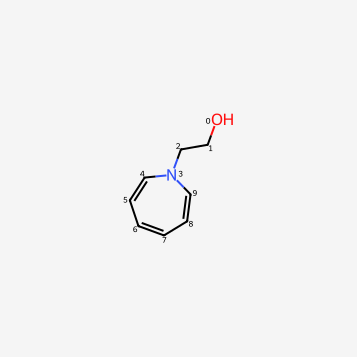 OCCN1C=CC=CC=C1